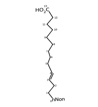 CCCCCCCCCCCC=CCCCCCCCCC(=O)O